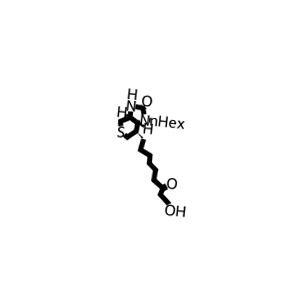 CCCCCCN1C(=O)N[C@H]2CSC[C@@H](CCCCCCC(=O)CCO)[C@H]21